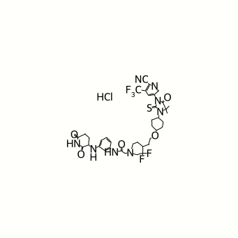 CC1(C)C(=O)N(c2cnc(C#N)c(C(F)(F)F)c2)C(=S)N1C1CCC(OCCC2CCN(CC(=O)Nc3cccc(NC4CCC(=O)NC4=O)c3)CC2(F)F)CC1.Cl